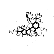 C=CCOc1c(C(C)(C)C)cc(C)c([SiH](C)C)c1C(C)(C)C1=CCC(C(C)(C)C)=C1